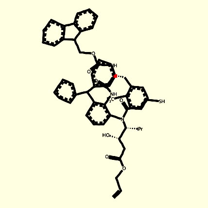 C=CCOC(=O)C[C@H](O)[C@@H](C(C)C)N(C(=O)CCS)c1cccc(C(c2ccccc2)c2ccccc2)c1NC(=O)[C@@H](Cc1ccccc1C(F)(F)F)NC(=O)OCC1c2ccccc2-c2ccccc21